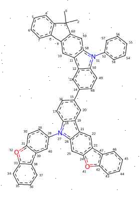 CC1(C)c2ccccc2-c2cc3c4cc(-c5ccc6c(c5)c5cc7c(cc5n6-c5ccc6oc8ccccc8c6c5)oc5ccccc57)ccc4n(-c4ccccc4)c3cc21